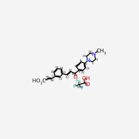 CN1CCN(c2ccc(C(=O)C=Cc3cccc(C=CC(=O)O)c3)cc2)CC1.O=C(O)C(F)(F)F